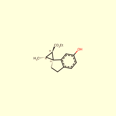 CCOC(=O)[C@@H]1[C@@H](C)[C@@]12CCc1ccc(O)cc12